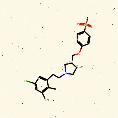 Cc1c(C#N)cc(Cl)cc1CCN1C[C@@H](COc2ccc(S(C)(=O)=O)cc2)[C@H](C)C1